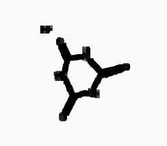 F.O=c1[nH]c(=O)[nH]c(=O)[nH]1